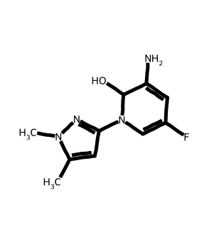 Cc1cc(N2C=C(F)C=C(N)C2O)nn1C